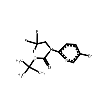 CC(C)(C)OC(=O)N(CC(F)(F)F)c1ccc(Br)cn1